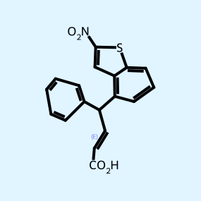 O=C(O)/C=C/C(c1ccccc1)c1cccc2sc([N+](=O)[O-])cc12